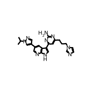 CC(C)n1cc(-c2cnc3[nH]cc(-c4cc(CCCn5ccnc5)nc(N)n4)c3c2)cn1